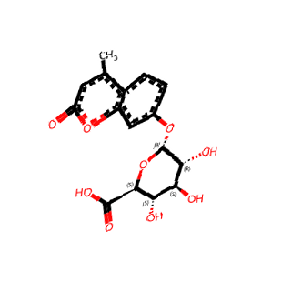 Cc1cc(=O)oc2cc(O[C@H]3O[C@H](C(=O)O)[C@@H](O)[C@H](O)[C@H]3O)ccc12